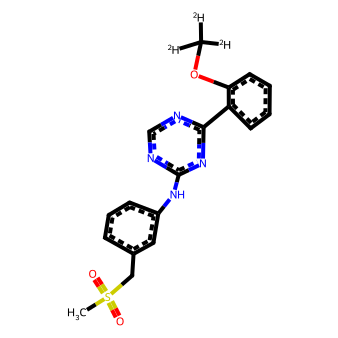 [2H]C([2H])([2H])Oc1ccccc1-c1ncnc(Nc2cccc(CS(C)(=O)=O)c2)n1